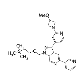 COC1CN(c2cc(C3=NN(COCC[Si](C)(C)C)C4C=NC(c5cccnc5)=CC34)ccn2)C1